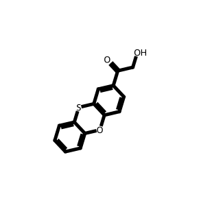 O=C(CO)c1ccc2c(c1)Sc1ccccc1O2